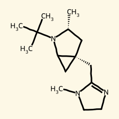 C[C@@H]1C[C@@]2(CC3=NCCN3C)CC2N1C(C)(C)C